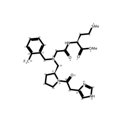 COC(=O)[C@H](CCSC)NC(=O)CN(Cc1ccccc1C(F)(F)F)C[C@@H]1CCCN1C(=O)Cc1c[nH]cn1